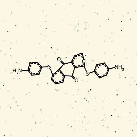 Nc1ccc(Sc2cccc3c2C(=O)c2cccc(Sc4ccc(N)cc4)c2C3=O)cc1